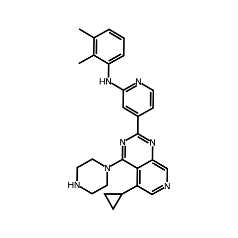 Cc1cccc(Nc2cc(-c3nc(N4CCNCC4)c4c(C5CC5)cncc4n3)ccn2)c1C